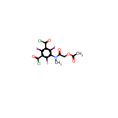 CC(=O)OCC(=O)N(C)c1c(I)c(C(=O)Cl)c(I)c(C(=O)Cl)c1I